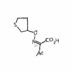 CC(=O)/C(=N/OC1CCSC1)C(=O)O